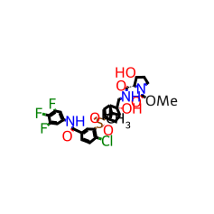 COC(=O)N1CC[C@@H](O)[C@H]1C(=O)NC[C@]1(O)C2CC(S(=O)(=O)c3cc(C(=O)Nc4cc(F)c(F)c(F)c4)ccc3Cl)CC1[C@@H]2C